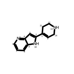 C1=C(c2cc3ncccc3[nH]2)CCNC1